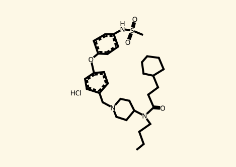 CCCCN(C(=O)CCC1CCCCC1)C1CCN(Cc2ccc(Oc3ccc(NS(C)(=O)=O)cc3)cc2)CC1.Cl